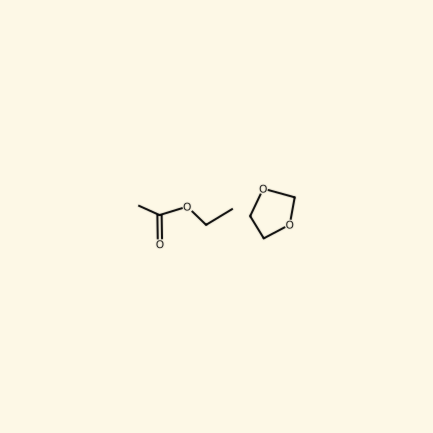 C1COCO1.CCOC(C)=O